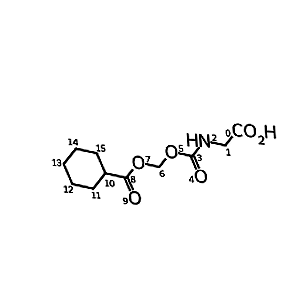 O=C(O)CNC(=O)OCOC(=O)C1CCCCC1